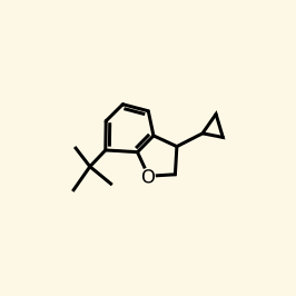 CC(C)(C)c1cccc2c1OCC2C1CC1